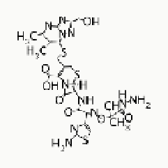 Cc1nc2nc(CO)nn2c(SCC2=C(C(=O)O)N3C(=O)C(NC(=O)C(=NOC(C)(C)C(=O)NN)c4csc(N)n4)[C@@H]3SC2)c1C